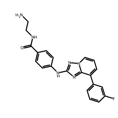 NCCNC(=O)c1ccc(Nc2nc3c(-c4cccc(F)c4)cccn3n2)cc1